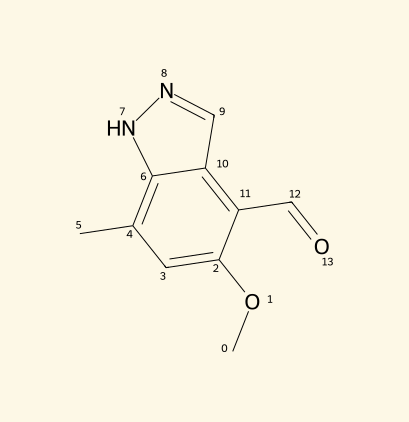 COc1cc(C)c2[nH]ncc2c1C=O